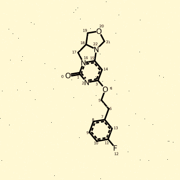 O=c1nc(OCCc2cccc(F)c2)cc2n1CC1COCN21